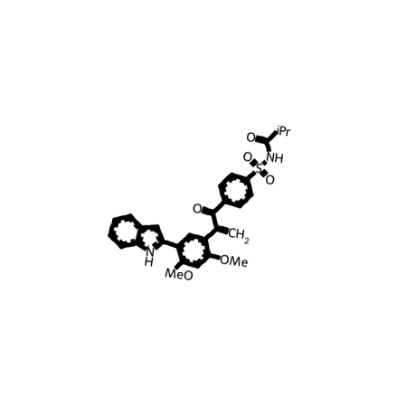 C=C(C(=O)c1ccc(S(=O)(=O)NC(=O)C(C)C)cc1)c1cc(-c2cc3ccccc3[nH]2)c(OC)cc1OC